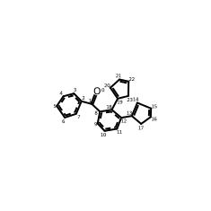 O=C(c1ccccc1)c1cccc(C2=CC=CC2)c1C1=CC=CC1